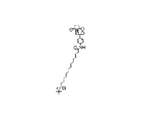 CC(C)(C)OC(=O)CCCCCCCCCCCCCCC(=O)Nc1ccc(C(=O)ON2C(=O)CCC2=O)cc1